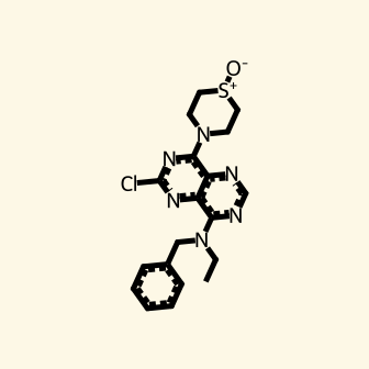 CCN(Cc1ccccc1)c1ncnc2c(N3CC[S+]([O-])CC3)nc(Cl)nc12